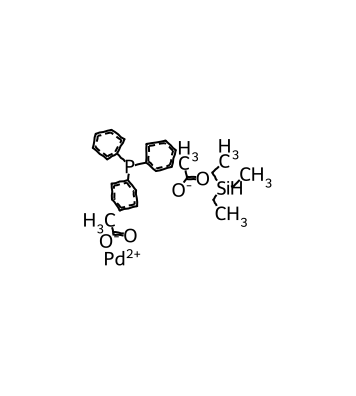 CC(=O)[O-].CC(=O)[O-].CC[SiH](CC)CC.[Pd+2].c1ccc(P(c2ccccc2)c2ccccc2)cc1